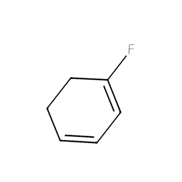 FC1=C[C]=CC[CH]1